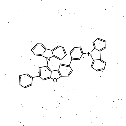 c1ccc(-c2cc(-n3c4ccccc4c4ccccc43)c3c(c2)oc2ccc(-c4cccc(-n5c6ccccc6c6ccccc65)c4)cc23)cc1